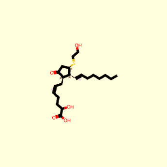 CCCCCC/C=C/[C@H]1[C@H](SCCO)CC(=O)[C@@H]1C/C=C\CCC(O)C(=O)O